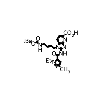 CCn1nc(C)cc1C(=O)Nc1nc2nc(C(=O)O)ccc2n1C/C=C/CNC(=O)OC(C)(C)C